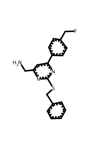 NCc1cc(-c2ccc(CF)cc2)nc(SCc2ccccc2)n1